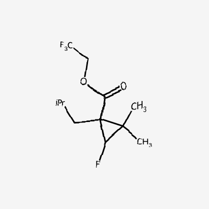 CC(C)CC1(C(=O)OCC(F)(F)F)C(F)C1(C)C